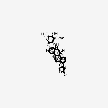 CO[C@H]1[C@H](O)[C@H](O[C@H]2CC[C@@]3(C)[C@@H](C2)C[C@@H]2O[C@]24[C@@H]3CC[C@]2(C)[C@@H](C3=CC(=O)OC3)CC[C@]42O)O[C@@H](C)[C@@H]1O